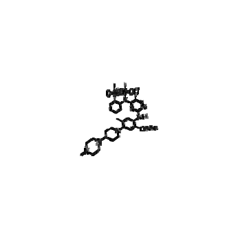 COc1cc(N2CCC(N3CCN(C)CC3)CC2)c(C)cc1Nc1ncc(Cl)c(N(c2ccccc2S(C)(=O)=O)S(C)(=O)=O)n1